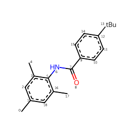 Cc1cc(C)c(NC(=O)c2ccc(C(C)(C)C)cc2)c(C)c1